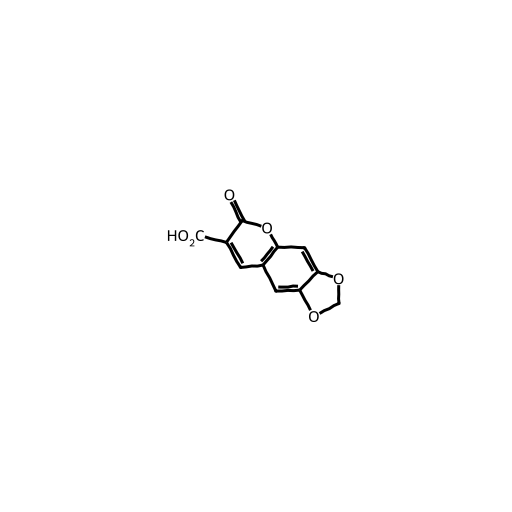 O=C(O)c1cc2cc3c(cc2oc1=O)OCO3